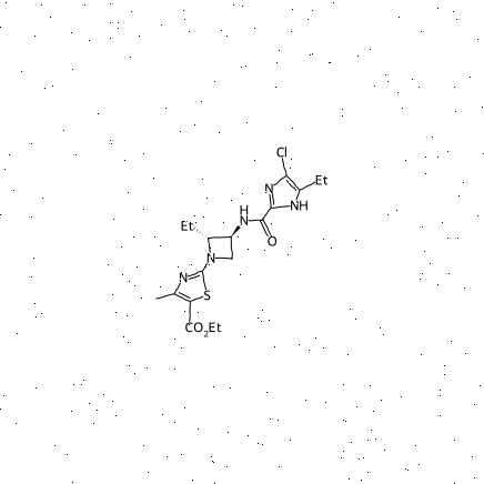 CCOC(=O)c1sc(N2C[C@H](NC(=O)c3nc(Cl)c(CC)[nH]3)[C@H]2CC)nc1C